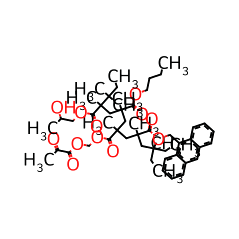 CCCCOC(=O)C(C)(CC(C)(CC(C)(CC(C)(CC)CC)C(=O)OCc1c2ccccc2cc2ccccc12)C(=O)OCOC(=O)C(C)=O)CC(C)(C(=O)OCC(C)O)C(C)(C)CC